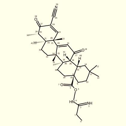 CCC(=N)NOC(=O)[C@]12CCC(C)(C)C[C@H]1[C@H]1C(=O)C=C3[C@@]4(C)C=C(C#N)C(=O)[C@@H](C)[C@@H]4CC[C@@]3(C)[C@]1(C)CC2